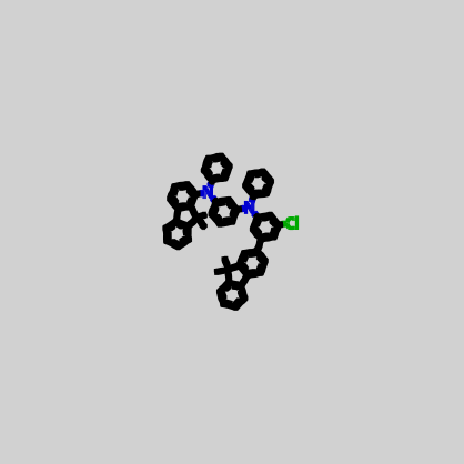 CC1(C)c2ccccc2-c2ccc(-c3cc(Cl)cc(N(c4ccccc4)c4cccc(N(c5ccccc5)c5cccc6c5C(C)(C)c5ccccc5-6)c4)c3)cc21